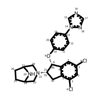 Clc1cc(Cl)c2c(c1)[C@@H](Oc1ccc(-n3cncn3)cc1)[C@@H](N1CC3CCC(C1)N3)C2